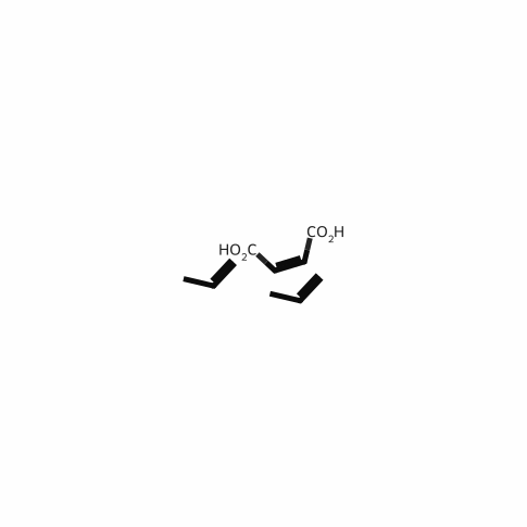 C=CC.C=CC.O=C(O)/C=C\C(=O)O